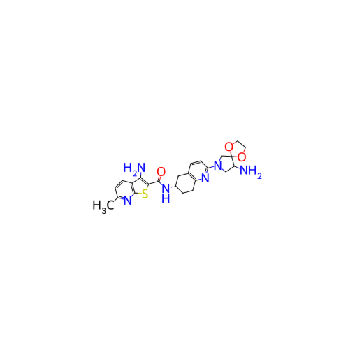 Cc1ccc2c(N)c(C(=O)N[C@H]3CCc4nc(N5CC(N)C6(C5)OCCO6)ccc4C3)sc2n1